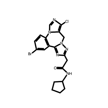 O=C(Cc1nc2n(n1)Cc1c(Cl)ncn1-c1ccc(Br)cc1-2)NC1CCCC1